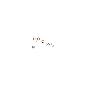 O.[Cr].[Ni].[SbH3].[Ti]